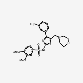 COc1ccc(S(=O)(=O)Nc2nc(-c3cccc([N+](=O)[O-])c3)c(CN3CCOCC3)s2)cc1OC